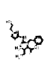 CCC(C)C1C(=O)Nc2ccccc2CN1C(=O)Nc1ccn(CCO)n1